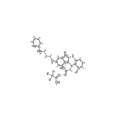 O=C(O)C(F)(F)F.O=C(O)CC(c1c(F)cccc1F)c1c[nH]c2cc(OCCCNc3ccccn3)ccc12